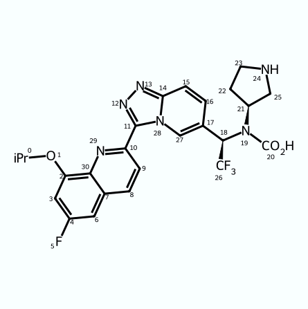 CC(C)Oc1cc(F)cc2ccc(-c3nnc4ccc([C@@H](N(C(=O)O)[C@H]5CCNC5)C(F)(F)F)cn34)nc12